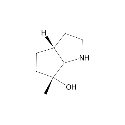 C[C@@]1(O)CC[C@@H]2CCNC21